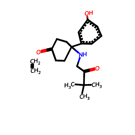 C=C.CC(C)(C)C(=O)CNC1(c2cccc(O)c2)CCC(=O)CC1